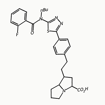 CCCCN(C(=O)c1ccccc1F)c1nnc(-c2ccc(CCC3CC(C(=O)O)N4CCCC34)cc2)s1